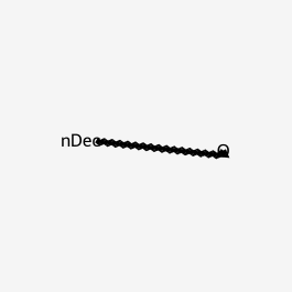 CCCCCCCCCCCCCCCCCCCCCCCCCCCCCCCCCCCCCCCCCC1CO1